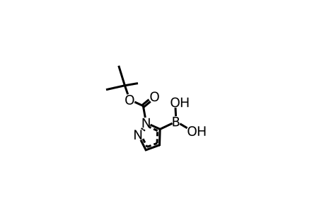 CC(C)(C)OC(=O)n1nccc1B(O)O